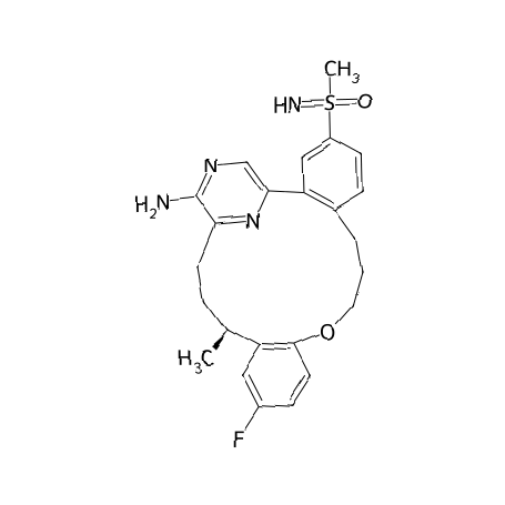 C[C@H]1CCc2nc(cnc2N)-c2cc(S(C)(=N)=O)ccc2CCCOc2ccc(F)cc21